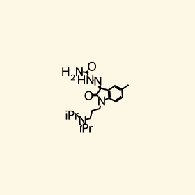 Cc1ccc2c(c1)C(=NNC(N)=O)C(=O)N2CCCN(C(C)C)C(C)C